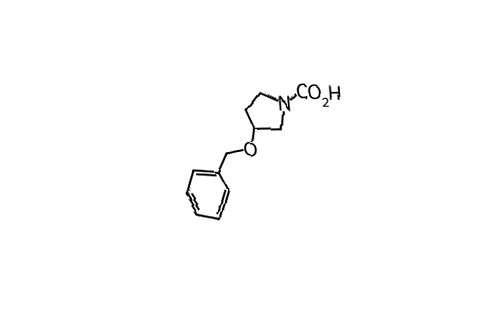 O=C(O)N1CCC(OCc2ccccc2)C1